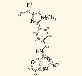 Cn1cc(C(F)F)nc1-c1ccc(CNc2nc(Cl)nc3ccoc23)cc1